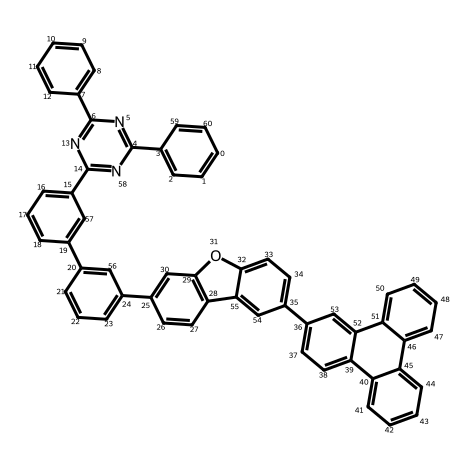 c1ccc(-c2nc(-c3ccccc3)nc(-c3cccc(-c4cccc(-c5ccc6c(c5)oc5ccc(-c7ccc8c9ccccc9c9ccccc9c8c7)cc56)c4)c3)n2)cc1